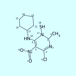 CC1N=C(Cl)C([N+](=O)[O-])=C(NC2CCCCC2)N1S